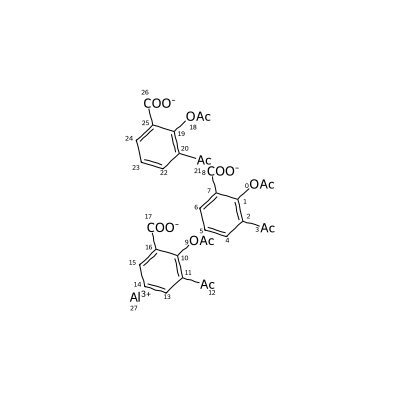 CC(=O)Oc1c(C(C)=O)cccc1C(=O)[O-].CC(=O)Oc1c(C(C)=O)cccc1C(=O)[O-].CC(=O)Oc1c(C(C)=O)cccc1C(=O)[O-].[Al+3]